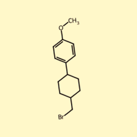 COc1ccc(C2CCC(CBr)CC2)cc1